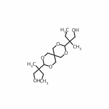 CCC(C)(CO)C1OCC2(CO1)COC(C(C)(CC)CO)OC2